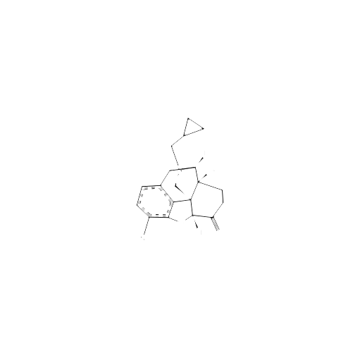 [C-]#[N+]c1ccc2c3c1O[C@H]1C(=O)CC[C@@]4(O)[C@@H](C2)N(CC2CC2)CC[C@]314